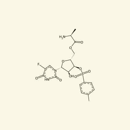 Cc1ccc(S(=O)(=O)O[C@H]2[C@@H](O)[C@H](n3cc(F)c(=O)[nH]c3=O)O[C@@H]2COC(=O)[C@H](C)N)cc1